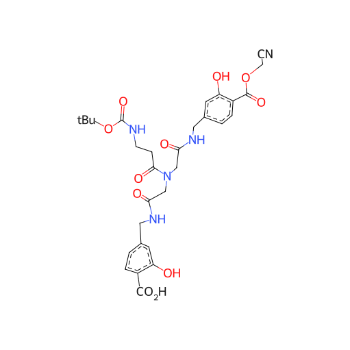 CC(C)(C)OC(=O)NCCC(=O)N(CC(=O)NCc1ccc(C(=O)O)c(O)c1)CC(=O)NCc1ccc(C(=O)OCC#N)c(O)c1